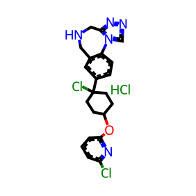 Cl.Clc1cccc(OC2CCC(Cl)(c3ccc4c(c3)CNCc3nncn3-4)CC2)n1